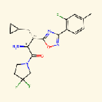 Cc1ccc(-c2noc([C@@H](CC3CC3)[C@H](N)C(=O)N3CCC(F)(F)C3)n2)c(F)c1